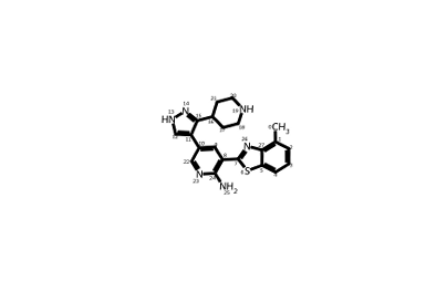 Cc1cccc2sc(-c3cc(-c4c[nH]nc4C4CCNCC4)cnc3N)nc12